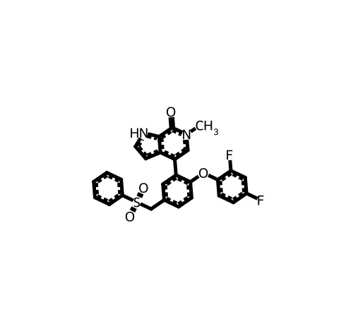 Cn1cc(-c2cc(CS(=O)(=O)c3ccccc3)ccc2Oc2ccc(F)cc2F)c2cc[nH]c2c1=O